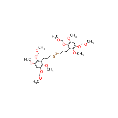 COCOc1cc(OC)c(OCOC)c(CCCSSCCCc2c(OC)c(OCOC)cc(OC)c2OCOC)c1OC